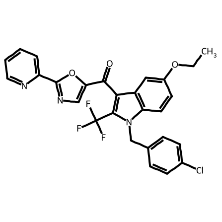 CCOc1ccc2c(c1)c(C(=O)c1cnc(-c3ccccn3)o1)c(C(F)(F)F)n2Cc1ccc(Cl)cc1